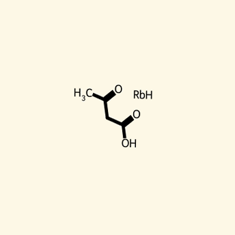 CC(=O)CC(=O)O.[RbH]